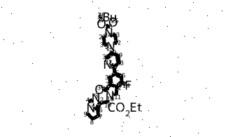 CCOC(=O)C(c1ncn2c1CCC2)N1Cc2c(F)cc(-c3ccc(N4CCN(C(=O)OC(C)(C)C)CC4)cn3)cc2C1=O